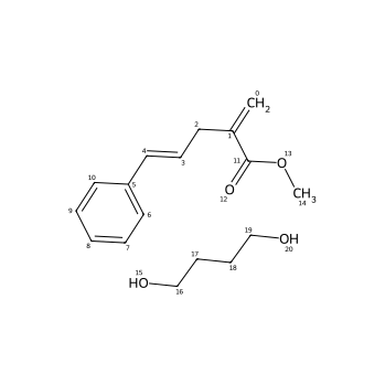 C=C(CC=Cc1ccccc1)C(=O)OC.OCCCCO